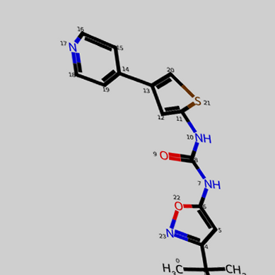 CC(C)(C)c1cc(NC(=O)Nc2cc(-c3ccncc3)cs2)on1